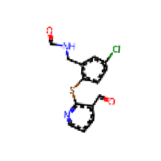 O=CNCc1cc(Cl)ccc1Sc1ncccc1C=O